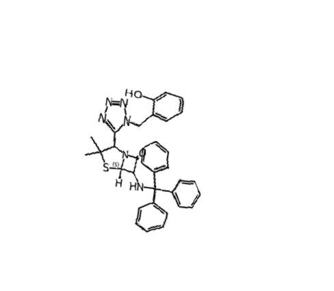 CC1(C)S[C@H]2C(NC(c3ccccc3)(c3ccccc3)c3ccccc3)C(=O)N2C1c1nnnn1Cc1ccccc1O